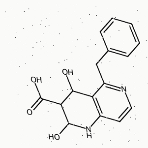 O=C(O)C1C(O)Nc2ccnc(Cc3ccccc3)c2C1O